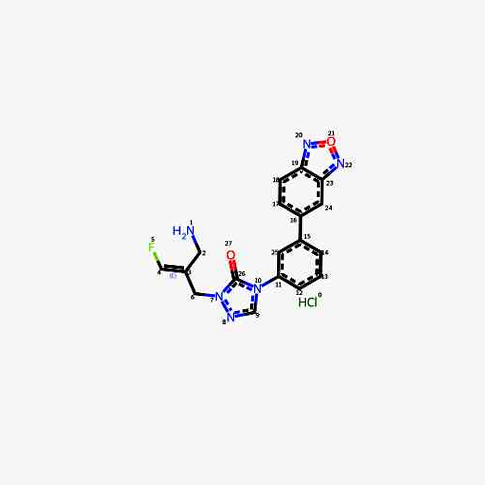 Cl.NC/C(=C\F)Cn1ncn(-c2cccc(-c3ccc4nonc4c3)c2)c1=O